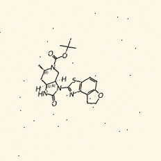 C[C@@H]1C[C@@H]2NC(=O)N(c3nc4c5c(ccc4s3)OCC5)[C@@H]2CN1C(=O)OC(C)(C)C